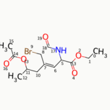 CCOC(=O)C(C=C(CBr)CC(C)OC(C)=O)NC=O